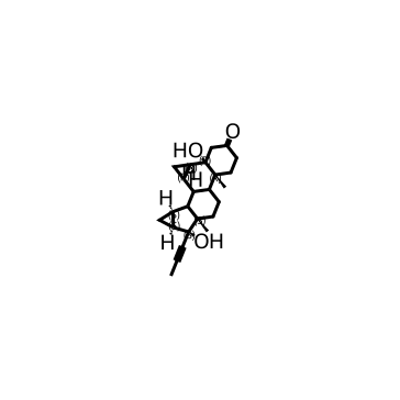 CC#C[C@]1(O)[C@H]2C[C@H]2C2C3C(CC[C@@]21C)[C@@]1(C)CCC(=O)C[C@@]1(O)[C@@H]1C[C@H]31